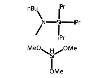 CCCCN(C)[Si](C(C)C)(C(C)C)C(C)C.CO[SiH](OC)OC